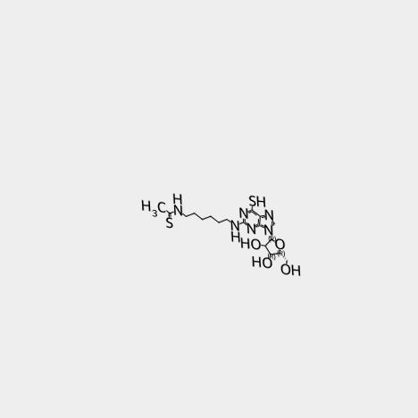 CC(=S)NCCCCCCNc1nc(S)c2ncn([C@@H]3O[C@H](CO)[C@H](O)C3O)c2n1